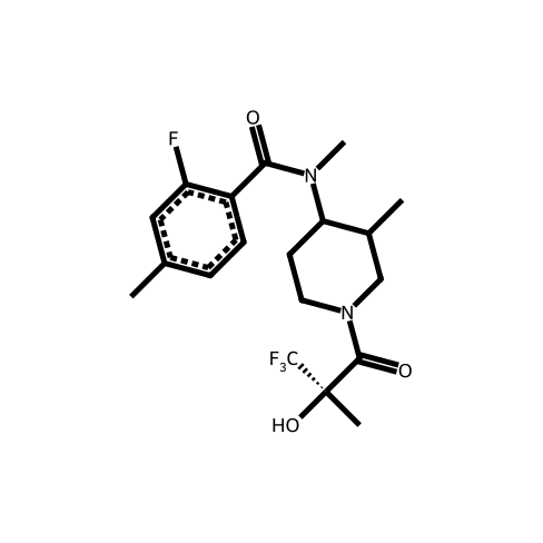 Cc1ccc(C(=O)N(C)C2CCN(C(=O)[C@@](C)(O)C(F)(F)F)CC2C)c(F)c1